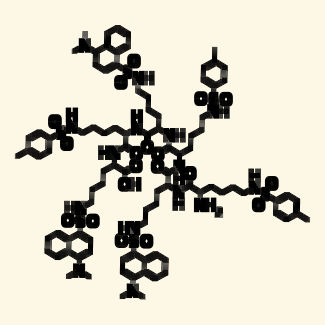 Cc1ccc(S(=O)(=O)NCCCCC(N)C(=O)NC(CCCCNS(=O)(=O)c2ccc(N(C)C)c3ccccc23)C(=O)NC(CCCCNS(=O)(=O)c2ccc(C)cc2)C(=O)NC(CCCCNS(=O)(=O)c2ccc(N(C)C)c3ccccc23)C(=O)NC(CCCCNS(=O)(=O)c2ccc(C)cc2)C(=O)NC(CCCCNS(=O)(=O)c2ccc(N(C)C)c3ccccc23)C(=O)O)cc1